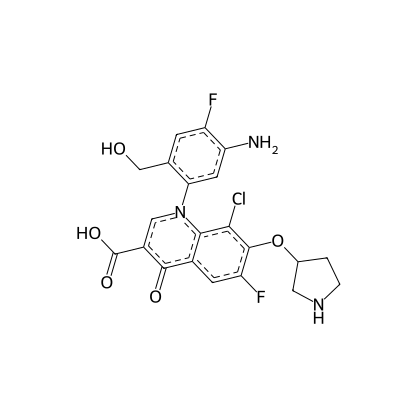 Nc1cc(-n2cc(C(=O)O)c(=O)c3cc(F)c(OC4CCNC4)c(Cl)c32)c(CO)cc1F